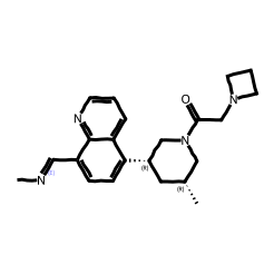 C/N=C/c1ccc([C@H]2C[C@@H](C)CN(C(=O)CN3CCC3)C2)c2cccnc12